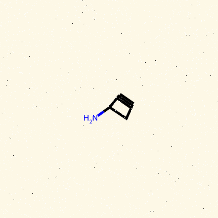 NC1C#CC1